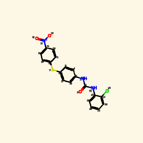 O=C(Nc1ccc(Sc2ccc([N+](=O)[O-])cc2)cc1)Nc1ccccc1Cl